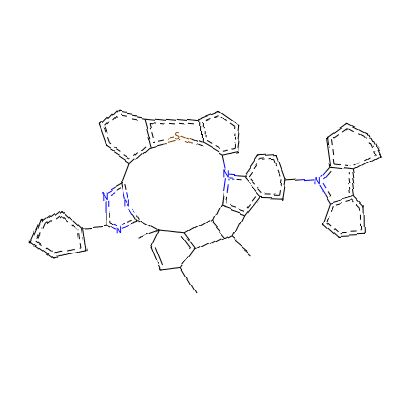 CC1C=CC2(C)C3=C1C(C)c1c(n(c4ccc(-n5c6ccccc6c6ccccc65)cc14)-c1cccc4c1sc1c(cccc14)-c1nc(-c4ccccc4)nc2n1)C3C